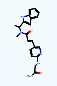 CNC(=O)CNc1ccc(C=CC(=O)N(C)C(C)c2cc3ccccc3[nH]2)cn1